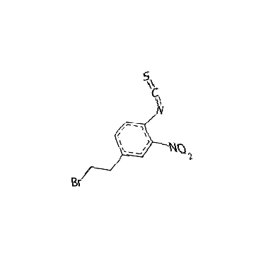 O=[N+]([O-])c1cc(CCBr)ccc1N=C=S